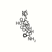 Cc1nnc(SCC2=C(C(=O)O)N3C(=O)C(NC(=O)C(O)c4ccccc4C(=O)[C@H](C)N)[C@@H]3SC2)s1